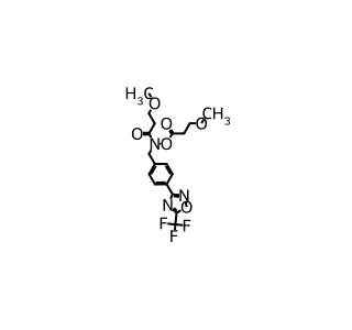 COCCC(=O)ON(Cc1ccc(-c2noc(C(F)(F)F)n2)cc1)C(=O)CCOC